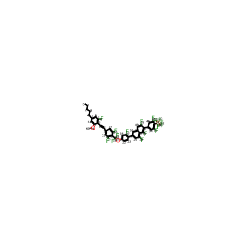 CCCCCc1cc(F)c(C#Cc2cc(F)c(C(F)(F)Oc3ccc(-c4cc(F)c5c(F)c(-c6cc(F)c(S(F)(F)(F)(F)F)c(F)c6)c(F)cc5c4)c(F)c3)c(F)c2)c(OC)c1